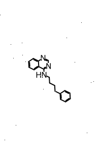 c1ccc(CCCCNc2ncnc3ccccc23)cc1